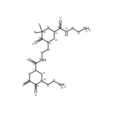 C=C1CC(C(=O)NCCN2CC(C(=O)NCCN)CC(C)(C)C2=O)CN(CCN)C1=O